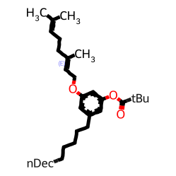 CCCCCCCCCCCCCCCc1cc(OC/C=C(\C)CCC=C(C)C)cc(OC(=O)C(C)(C)C)c1